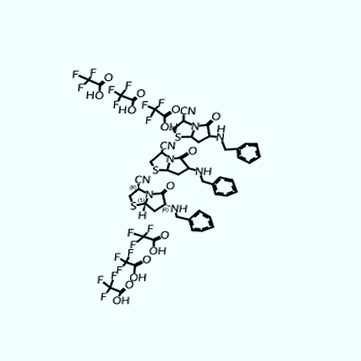 N#CC1CSC2CC(NCc3ccccc3)C(=O)N12.N#CC1CSC2CC(NCc3ccccc3)C(=O)N12.N#C[C@@H]1CS[C@H]2C[C@@H](NCc3ccccc3)C(=O)N12.O=C(O)C(F)(F)F.O=C(O)C(F)(F)F.O=C(O)C(F)(F)F.O=C(O)C(F)(F)F.O=C(O)C(F)(F)F.O=C(O)C(F)(F)F